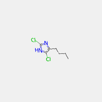 CCCCc1nc(Cl)[nH]c1Cl